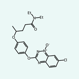 CCN(CC)C(=O)CCC(C)Oc1ccc(Oc2nc3ccc(Cl)cc3[n+]([O-])n2)cc1